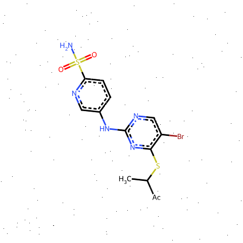 CC(=O)C(C)Sc1nc(Nc2ccc(S(N)(=O)=O)nc2)ncc1Br